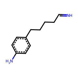 N=CCCCCc1ccc(N)cc1